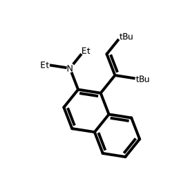 CCN(CC)c1ccc2ccccc2c1/C(=C/C(C)(C)C)C(C)(C)C